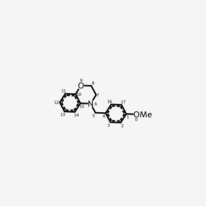 COc1ccc(CN2CCOc3ccccc32)cc1